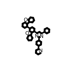 c1ccc(-c2cc(-c3ccc(-c4cccc5oc6ccccc6c45)c4oc5ccccc5c34)nc(-c3ccc(-c4ccccn4)cc3)n2)cc1